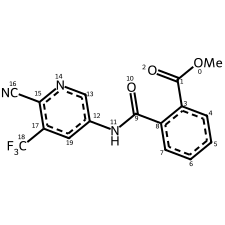 COC(=O)c1ccccc1C(=O)Nc1cnc(C#N)c(C(F)(F)F)c1